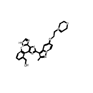 Cc1nn2ccc(OCCN3CCOCC3)cc2c1-c1nc(-c2c(F)cccc2CO)c(-c2nc[nH]n2)s1